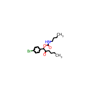 CCCCNC(=O)OC(C(=O)CCCC)c1ccc(Br)cc1